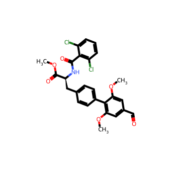 COC(=O)[C@H](Cc1ccc(-c2c(OC)cc(C=O)cc2OC)cc1)NC(=O)c1c(Cl)cccc1Cl